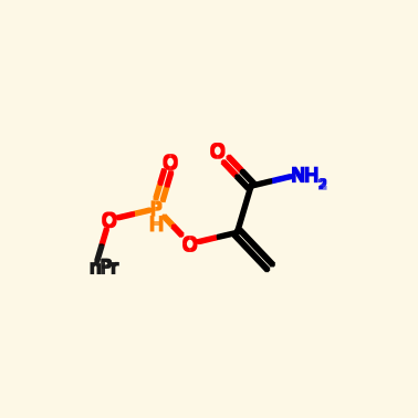 C=C(O[PH](=O)OCCC)C(N)=O